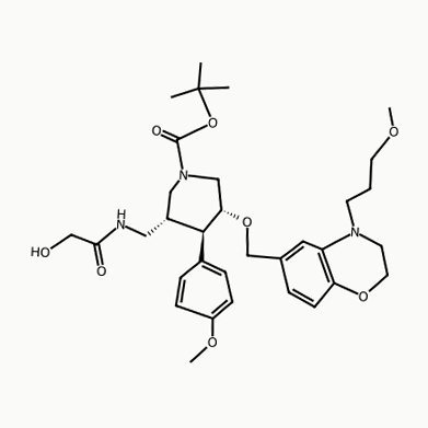 COCCCN1CCOc2ccc(CO[C@H]3CN(C(=O)OC(C)(C)C)C[C@@H](CNC(=O)CO)[C@@H]3c3ccc(OC)cc3)cc21